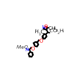 CO/N=C(\COc1ccc(COc2ccc(C(CC(=O)O)c3c(C)noc3C)cc2)cc1)c1ccccc1